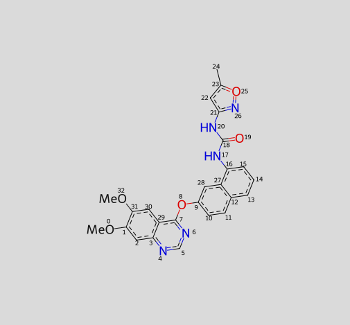 COc1cc2ncnc(Oc3ccc4cccc(NC(=O)Nc5cc(C)on5)c4c3)c2cc1OC